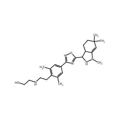 Cc1cc(-c2noc(C3NN(C)C4=CC(C)(C)CCC43)n2)cc(C)c1CCNCCO